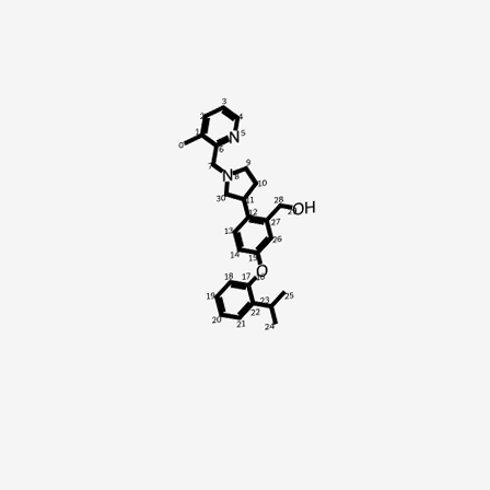 Cc1cccnc1CN1CCC(c2ccc(Oc3ccccc3C(C)C)cc2CO)C1